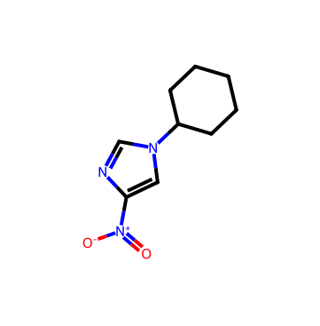 O=[N+]([O-])c1cn(C2CCCCC2)cn1